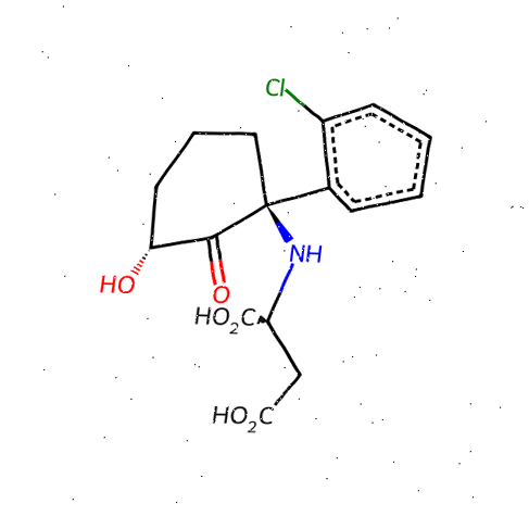 O=C(O)C[C@H](N[C@]1(c2ccccc2Cl)CCC[C@@H](O)C1=O)C(=O)O